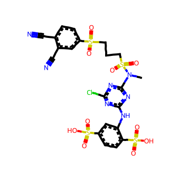 CN(c1nc(Cl)nc(Nc2cc(S(=O)(=O)O)ccc2S(=O)(=O)O)n1)S(=O)(=O)CCCS(=O)(=O)c1ccc(C#N)c(C#N)c1